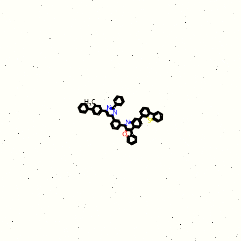 CC1CC(c2cc(-c3cccc(-c4nc5cc(-c6cccc7c6sc6ccccc67)ccc5c5c4oc4ccccc45)c3)nc(-c3ccccc3)n2)=CC=C1c1ccccc1